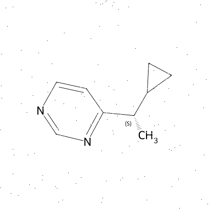 C[C@H](c1ccncn1)C1CC1